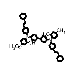 COc1ccc(N(c2ccc(/C=C/c3ccccc3)cc2)c2ccc(-c3ccc(N(c4ccc(/C=C/c5ccccc5)cc4)c4ccc(C)cc4C)cc3)cc2)c(C)c1